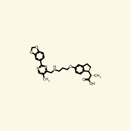 Cc1cnc(-c2ccc3c(c2)OCO3)nc1CNCCCOc1ccc2c(c1)CC[C@H]2[C@H](C)C(=O)O